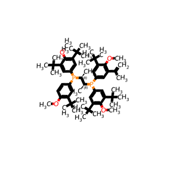 C=C(C)c1cc(P(c2cc(C(C)(C)C)c(OC)c(C(C)(C)C)c2)[C@H](C)[C@@H](C)P(c2ccc(OC)c(C(C)(C)C)c2)c2cc(C(C)(C)C)c(OC)c(C(C)(C)C)c2)cc(C(C)(C)C)c1OC